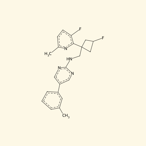 Cc1cccc(-c2cnc(NCC3(c4nc(C)ccc4F)CC(F)C3)nc2)c1